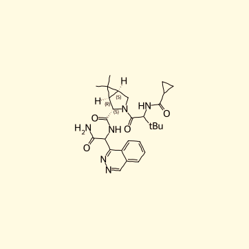 CC(C)(C)C(NC(=O)C1CC1)C(=O)N1C[C@H]2[C@@H]([C@H]1C(=O)NC(C(N)=O)c1nncc3ccccc13)C2(C)C